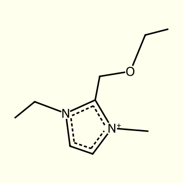 CCOCc1n(CC)cc[n+]1C